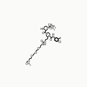 CCOCCOCCOCCOCCNC(=O)OCCC1CN(C(=O)C2CN(C(C)(C)C)CCN2)CCN1C(=O)Nc1ccc(Cl)c(F)c1